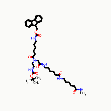 CNC(=O)CCCCCNC(=O)CCCCCNC(=O)CN(CCNC(=O)OC(C)(C)C)C(=O)CCCCCNC(=O)OCC1c2ccccc2-c2ccccc21